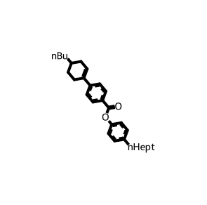 CCCCCCCc1ccc(OC(=O)c2ccc(C3=CCC(CCCC)CC3)cc2)cc1